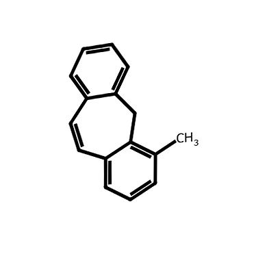 Cc1cccc2c1Cc1ccccc1C=C2